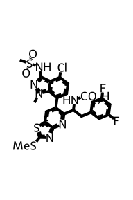 CSc1nc2nc(C(Cc3cc(F)cc(F)c3)NC(=O)O)c(-c3ccc(Cl)c4c(NS(C)(=O)=O)nn(C)c34)cc2s1